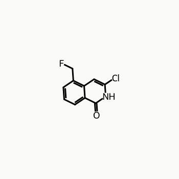 O=c1[nH]c(Cl)cc2c(CF)cccc12